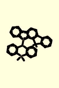 CC1(C)c2ccccc2-c2ccc3c4ccccc4n(B4c5ccccc5[Si](C)(C)c5ccccc54)c3c21